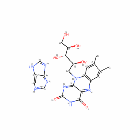 Cc1cc2nc3c(=O)[nH]c(=O)nc-3n(C[C@H](O)[C@H](O)[C@H](O)CO)c2cc1C.c1ncc2[nH]cnc2n1